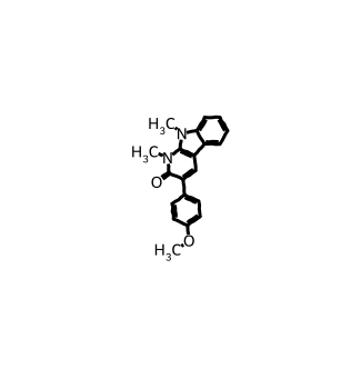 COc1ccc(-c2cc3c4ccccc4n(C)c3n(C)c2=O)cc1